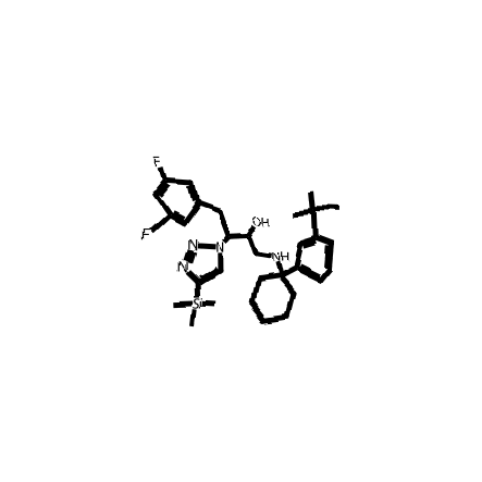 CC(C)(C)c1cccc(C2(NCC(O)C(Cc3cc(F)cc(F)c3)n3cc([Si](C)(C)C)nn3)CCCCC2)c1